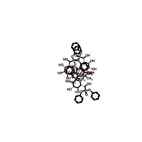 [CH2]C(C(C(CC(=O)OC)[C@@]1(O[Si](C)(C)C)O[C@H](C(O)P(=O)(Oc2ccccc2)Oc2ccccc2)[C@@H](O)[C@H](O)[C@@H]1O)[C@@]1(O[Si](C)(C)C)O[C@H](C(O)P(=O)(Oc2ccccc2)Oc2ccccc2)[C@@H](O)[C@H](O)[C@@H]1O)[C@@]1(O[Si](C)(C)C)O[C@H](C(O)P(=O)(Oc2ccccc2)Oc2ccccc2)[C@@H](O)[C@H](O)[C@@H]1O